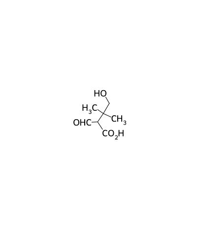 CC(C)(CO)C(C=O)C(=O)O